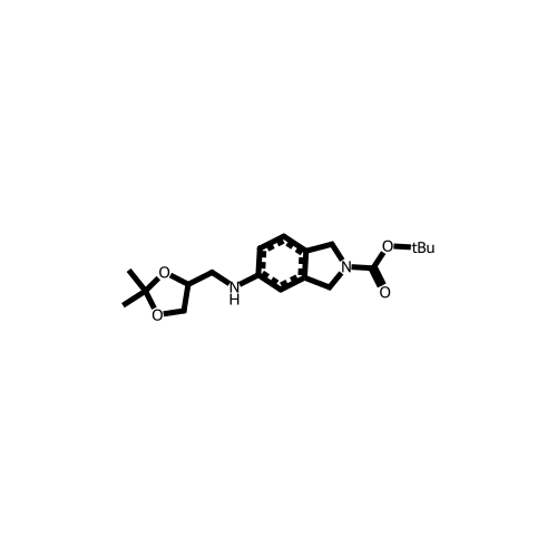 CC(C)(C)OC(=O)N1Cc2ccc(NCC3COC(C)(C)O3)cc2C1